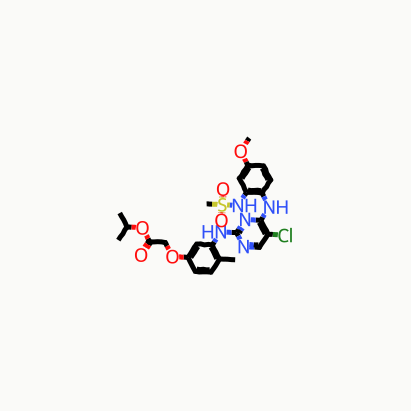 COc1ccc(Nc2nc(Nc3cc(OCC(=O)OC(C)C)ccc3C)ncc2Cl)c(NS(C)(=O)=O)c1